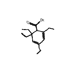 CCC1=CC(CC)(CC)C(C(=O)O)C(CC)=C1